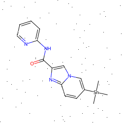 [CH3][Sn]([CH3])([CH3])[c]1ccc2nc(C(=O)Nc3ccccn3)cn2c1